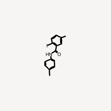 Cc1ccc(NC(=O)c2cc(C)ccc2I)cc1